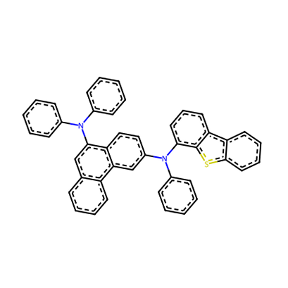 c1ccc(N(c2ccccc2)c2cc3ccccc3c3cc(N(c4ccccc4)c4cccc5c4sc4ccccc45)ccc23)cc1